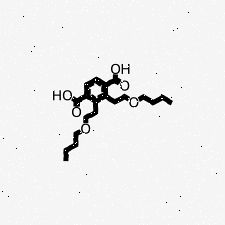 CCCCOCCc1c(C(=O)O)ccc(C(=O)O)c1CCOCCCC